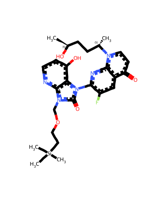 C[C@H](O)CC[C@H](C)n1ccc(=O)c2cc(F)c(-n3c(=O)n(COCC[Si](C)(C)C)c4nccc(O)c43)nc21